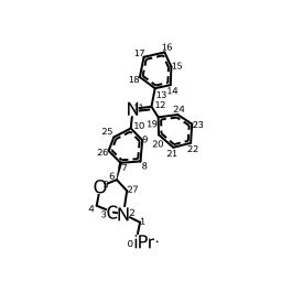 C[C](C)CN1CCO[C@@H](c2ccc(N=C(c3ccccc3)c3ccccc3)cc2)C1